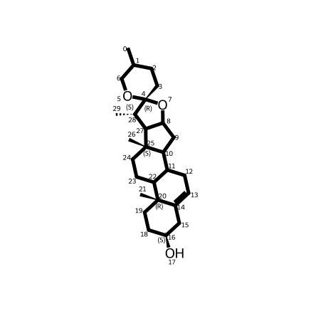 CC1CC[C@@]2(OC1)OC1CC3C4CC=C5C[C@@H](O)CC[C@]5(C)C4CC[C@]3(C)C1[C@@H]2C